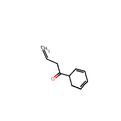 C=CCC(=O)C1C=CC=CC1